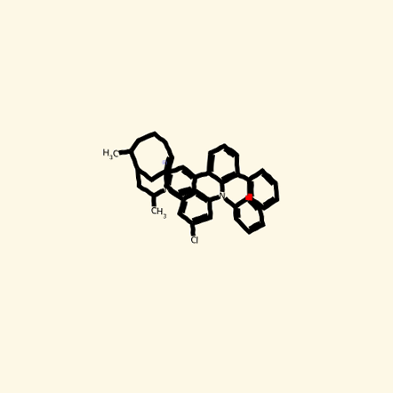 CC1CCC/C=C2\CC1CC(C)N2c1cc(Cl)cc(N(c2ccccc2)c2c(-c3ccccc3)cccc2-c2ccccc2)c1